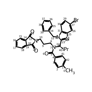 Cc1ccc(C(=O)N(CCCN2C(=O)c3ccccc3C2=O)[C@@H](c2nc3cc(Br)ccc3n2Cc2ccccc2)C(C)C)cc1